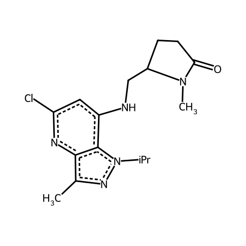 Cc1nn(C(C)C)c2c(NCC3CCC(=O)N3C)cc(Cl)nc12